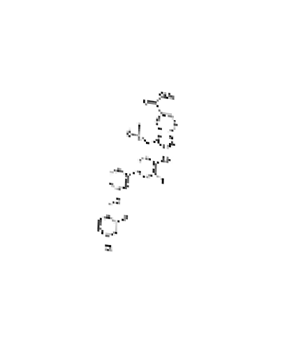 COC(=O)c1ccc2nc(Nc3ccc(-c4cccc(OCc5ccc(C#N)cc5F)n4)cc3F)n(C[C@@H]3CCO3)c2c1